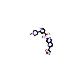 CN1CCC(c2cc(C(=O)Nc3cc4nc(-c5cnco5)ccc4cn3)ccn2)CC1